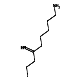 CCCC(=N)CCCCCN